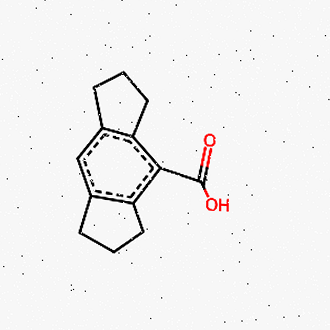 O=C(O)c1c2c(cc3c1CCC3)CCC2